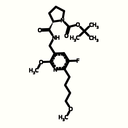 COCCCCc1nc(OC)c(CNC(=O)[C@@H]2CCCN2C(=O)OC(C)(C)C)cc1F